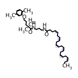 CC/C=C\C/C=C\C/C=C\C/C=C\C/C=C\C/C=C\CCC(=O)NCCCNC(=O)C(C)(C)CCCOc1cc(C)ccc1C